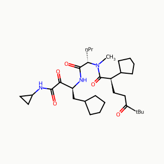 CCC[C@@H](C(=O)N[C@@H](CC1CCCC1)C(=O)C(=O)NC1CC1)N(C)C(=O)[C@H](CCC(=O)C(C)(C)C)C1CCCC1